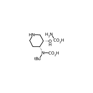 CC(C)(C)N(C(=O)O)[C@@H]1CCNC[C@@H]1O.NC(=O)O